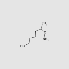 CC(CCCCO)ON